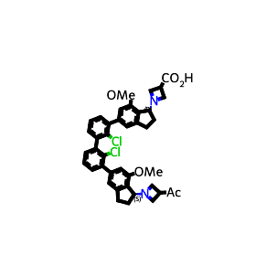 COc1cc(-c2cccc(-c3cccc(-c4cc5c(c(OC)c4)[C@@H](N4CC(C(C)=O)C4)CC5)c3Cl)c2Cl)cc2c1[C@H](N1CC(C(=O)O)C1)CC2